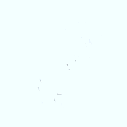 C=C(C)C(=O)OCC(CC[C@H]1CC[C@@]2(C)[C@@H](CC[C@@H]3[C@@H]2CC[C@]2(C)C([C@H](C)CC[C@@H](C)C(C)C)CC[C@@H]32)C1)COC(=O)C(=C)CO